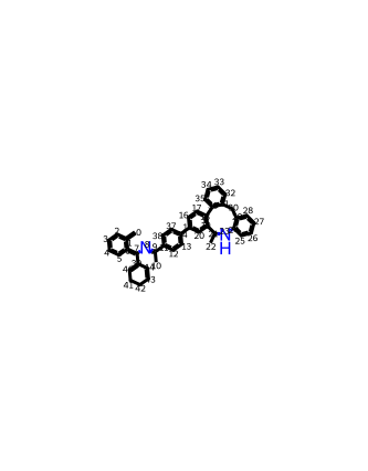 C=c1cccc/c1=C(/N=C(\C)c1ccc(-c2ccc3c(c2)C(C)Nc2ccccc2Cc2ccccc2-3)cc1)C1=CCCC=C1